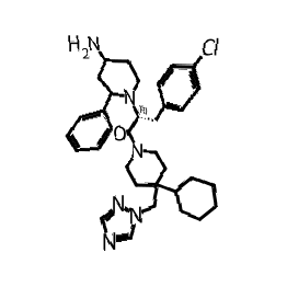 NC1CCN([C@H](Cc2ccc(Cl)cc2)C(=O)N2CCC(Cn3cncn3)(C3CCCCC3)CC2)C(c2ccccc2)C1